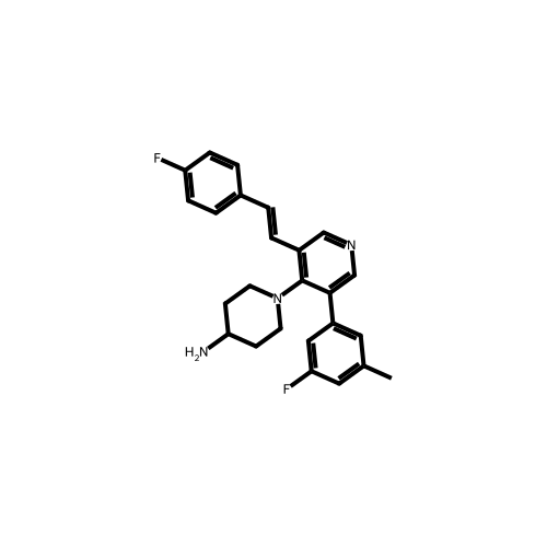 Cc1cc(F)cc(-c2cncc(C=Cc3ccc(F)cc3)c2N2CCC(N)CC2)c1